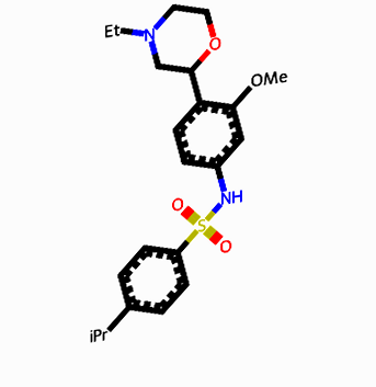 CCN1CCOC(c2ccc(NS(=O)(=O)c3ccc(C(C)C)cc3)cc2OC)C1